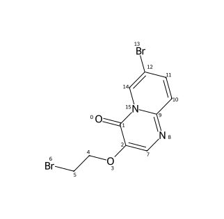 O=c1c(OCCBr)cnc2ccc(Br)cn12